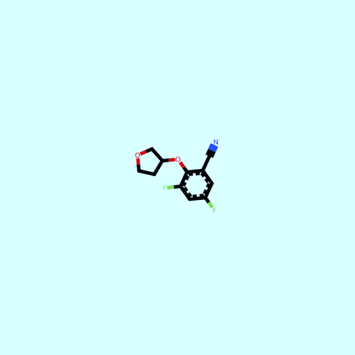 N#Cc1cc(F)cc(F)c1OC1CCOC1